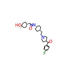 C[C@]1(O)CC[C@@H](CC(=O)N[C@H]2CC[C@H](CCN3CCC(C(=O)c4ccc(F)cc4)CC3)CC2)CC1